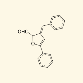 O=CC1OC(c2ccccc2)=C/C1=C\c1ccccc1